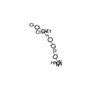 CCn1cc(-c2ccc(Cl)cc2Cl)nc1/C=C/c1ccc(-c2ccc(OCc3ccc(-c4nnn[nH]4)cc3)cc2)cc1